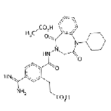 CC(=O)O.N=C(N)c1ccc(C(=O)NN2CC(=O)N(C3CCCCC3)c3ccccc3C2=O)c(CCC(=O)O)c1